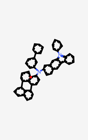 c1ccc(-c2cccc(N(c3ccc(-c4cccc5cccc(-c6ccccc6)c45)cc3)c3ccc4cc5c6ccccc6n(-c6ccccc6)c5cc4c3)c2)cc1